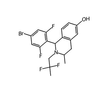 CC1Cc2cc(O)ccc2C(c2c(F)cc(Br)cc2F)N1CC(C)(F)F